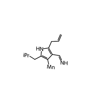 C=CCc1[nH]c(CC(C)C)[c]([Mn])c1C=N